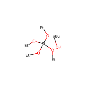 CCCCO.CCO[Si](OCC)(OCC)OCC